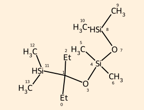 CCC(CC)(O[Si](C)(C)O[SiH](C)C)[SiH](C)C